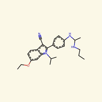 CCCNC(C)Nc1ccc(-c2c(C#N)c3ccc(OCC)cc3n2C(C)C)cc1